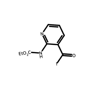 CCOC(=O)Nc1ncccc1C(=O)I